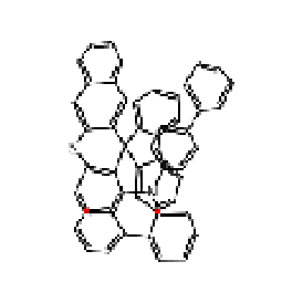 c1ccc(-c2ccc(N(c3ccccc3-c3ccccc3)c3cccc4c3C3(c5cc6ccccc6cc5S4)c4ccccc4-c4ccccc43)cc2)cc1